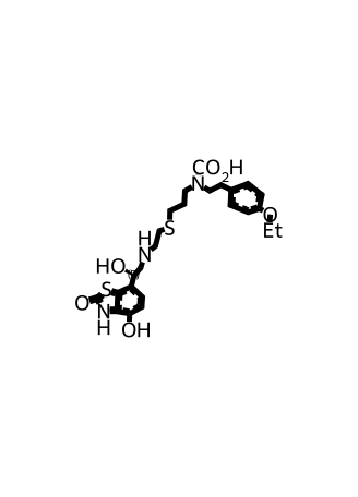 CCOc1ccc(CCN(CCCSCCNC[C@H](O)c2ccc(O)c3[nH]c(=O)sc23)C(=O)O)cc1